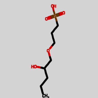 CCCC(O)COCCCS(=O)(=O)O